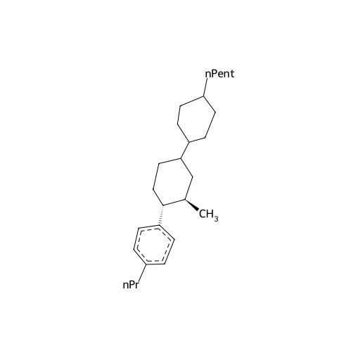 CCCCCC1CCC(C2CC[C@@H](c3ccc(CCC)cc3)[C@H](C)C2)CC1